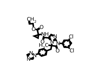 C=CCOC(=O)C1(NC(=O)c2cnc3n2C(C)(Cc2ccc(-n4cncn4)cc2)C(=O)N3c2cc(Cl)cc(Cl)c2)CC1